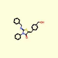 O=C1C(=Cc2ccc(CO)cc2)SC(=NCc2ccccc2)N1c1ccccc1